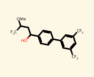 COC(CC(O)c1ccc(-c2cc(C(F)(F)F)cc(C(F)(F)F)c2)cc1)C(F)(F)F